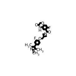 Cc1nn(C)c(C)c1-c1ccc(OCC2CN(C(=O)c3cc4c(cc3F)OCC(=O)N4)C2)c(F)c1